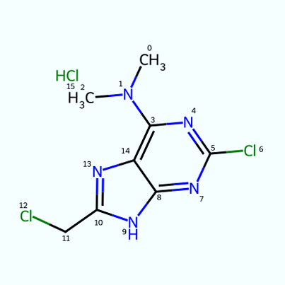 CN(C)c1nc(Cl)nc2[nH]c(CCl)nc12.Cl